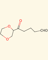 O=CCCCC(=O)C1COCCO1